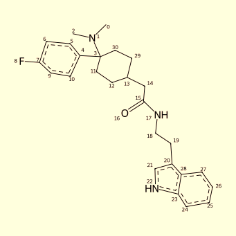 CN(C)C1(c2ccc(F)cc2)CCC(CC(=O)NCCc2c[nH]c3ccccc23)CC1